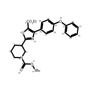 CCOC(=O)c1oc(C2CCCN(C(=O)OC(C)(C)C)C2)nc1-c1ccc(Oc2ccccc2)cc1